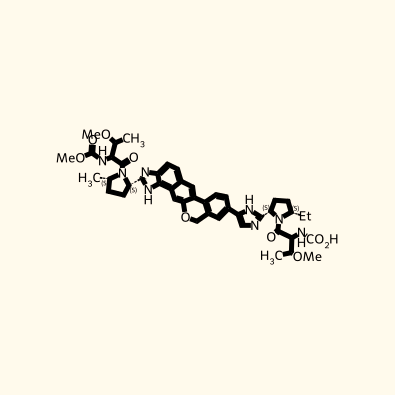 CC[C@H]1CC[C@@H](c2ncc(-c3ccc4c(c3)COc3cc5c(ccc6nc([C@@H]7CC[C@H](C)N7C(=O)C(NC(=O)OC)C(C)OC)[nH]c65)cc3-4)[nH]2)N1C(=O)C(NC(=O)O)C(C)OC